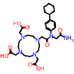 NC(=O)CN(C(=O)CN1CCN(CC(=O)O)CCN(CC(=O)O)CCN(CC(=O)O)CC1)c1ccc(C2CCCCC2)cc1